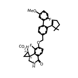 COc1ccc(F)c(-c2ccc(COc3ccc4c(c3F)[C@]3(CNC4=O)C[C@H]3C(=O)O)cc2C2=CCCC2(C)C)c1